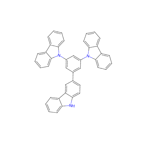 c1ccc2c(c1)[nH]c1ccc(-c3cc(-n4c5ccccc5c5ccccc54)cc(-n4c5ccccc5c5ccccc54)c3)cc12